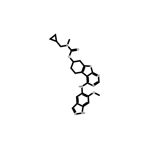 COc1cc2[nH]ncc2cc1Nc1ncnc2sc3c(c12)CCC(OC(=O)N(C)CC1CC1)C3